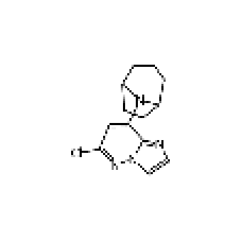 Clc1cc(N2C3CCCC2CC3)c2nccn2n1